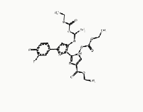 CCOC(=O)OC(C)Oc1cc(-c2ccc(F)c(F)c2)nn1C1=NC(C(=O)OCC)=C[SH]1OC(=O)OCC